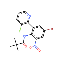 CC(C)(C)C(=O)Nc1c(-c2ncccc2F)cc(Br)cc1[N+](=O)[O-]